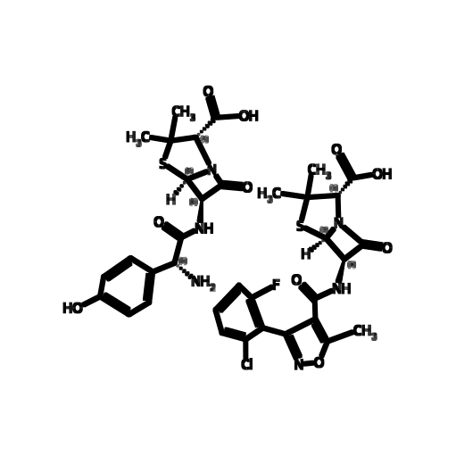 CC1(C)S[C@@H]2[C@H](NC(=O)[C@H](N)c3ccc(O)cc3)C(=O)N2[C@H]1C(=O)O.Cc1onc(-c2c(F)cccc2Cl)c1C(=O)N[C@@H]1C(=O)N2[C@@H]1SC(C)(C)[C@@H]2C(=O)O